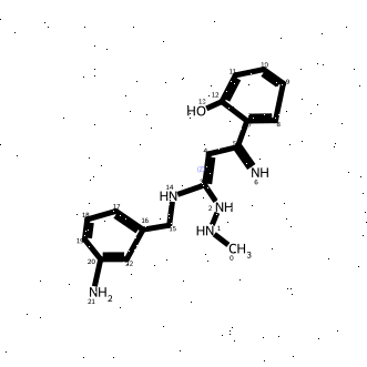 CNN/C(=C\C(=N)c1ccccc1O)NCc1cccc(N)c1